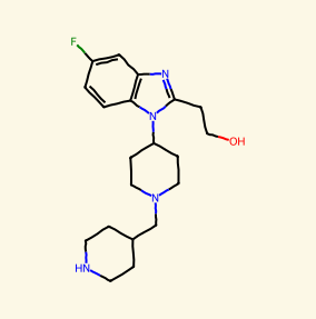 OCCc1nc2cc(F)ccc2n1C1CCN(CC2CCNCC2)CC1